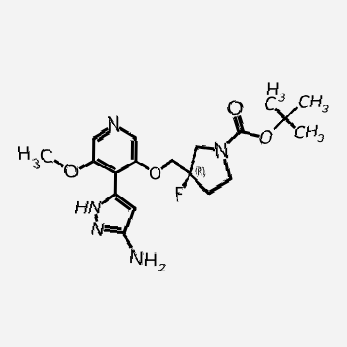 COc1cncc(OC[C@@]2(F)CCN(C(=O)OC(C)(C)C)C2)c1-c1cc(N)n[nH]1